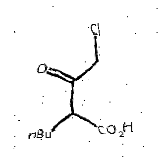 CCCCC(C(=O)O)C(=O)CCl